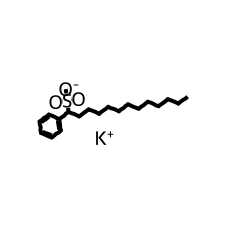 CCCCCCCCCCCCC(c1ccccc1)S(=O)(=O)[O-].[K+]